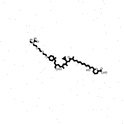 CCC(C(C)C)N(CCOCCOCCOC1CCC(C)(CCC(CC=O)CCC(C)/C=C(\C)C(CC(=O)C(C)CC/C=C/C=C/C=C/C(O)CC2CCCC(C(=O)C=O)O2)C2CC2)CC1)CC(C)C